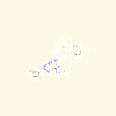 CN(CC1CCCN1Cc1c(F)cc(F)cc1F)c1nc(N)n2nc(-c3ccco3)nc2n1